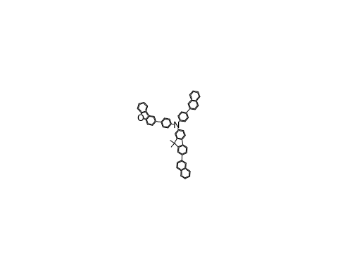 CC1(C)c2cc(-c3ccc4ccccc4c3)ccc2-c2ccc(N(c3ccc(-c4ccc5ccccc5c4)cc3)c3ccc(-c4ccc5oc6ccccc6c5c4)cc3)cc21